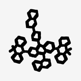 CC1(C)c2ccccc2N(c2ccc3c(-c4cccc5ccccc45)c4cc(N5c6ccccc6C(C)(C)c6ccccc65)ccc4c(-c4ccc(-c5ccc6ccccc6c5)cc4)c3c2)c2ccccc21